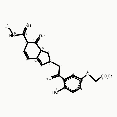 CCOC(=O)COc1ccc(O)c(C(=O)CN2C=C3C=CC(C(=N)NO)C(=O)C3C2)c1